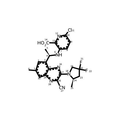 Cc1cc([C@@H](C)Nc2ccc(Cl)nc2C(=O)O)c2nc(N3CC(F)(F)C[C@H]3C)c(C#N)nc2c1